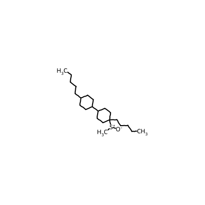 CCCCCC1CCC(C2CCC(CCCCC)([S+](C)[O-])CC2)CC1